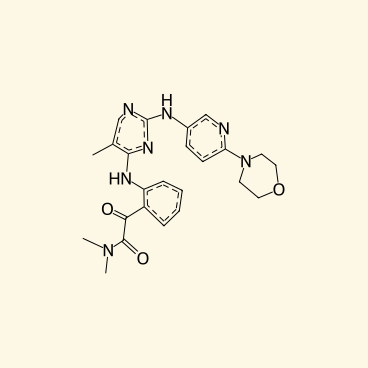 Cc1cnc(Nc2ccc(N3CCOCC3)nc2)nc1Nc1ccccc1C(=O)C(=O)N(C)C